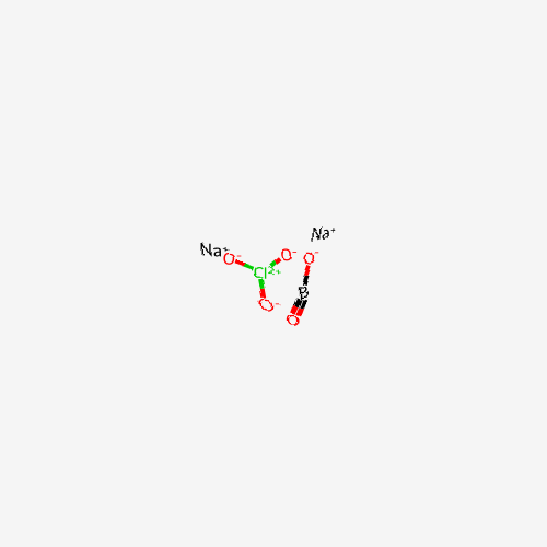 O=B[O-].[Na+].[Na+].[O-][Cl+2]([O-])[O-]